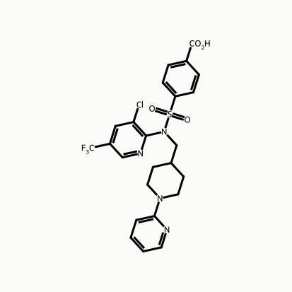 O=C(O)c1ccc(S(=O)(=O)N(CC2CCN(c3ccccn3)CC2)c2ncc(C(F)(F)F)cc2Cl)cc1